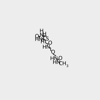 CNC(=O)NCCOCCNC(=O)CC1SC[C@@H]2NC(=O)N[C@H]12